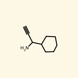 C#CC(N)C1CCCCC1